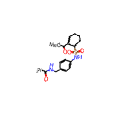 COC(=O)C1=CCCCC1S(=O)(=O)Nc1ccc(CNC(=O)C(C)C)cc1